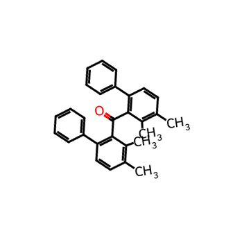 Cc1ccc(-c2ccccc2)c(C(=O)c2c(-c3ccccc3)ccc(C)c2C)c1C